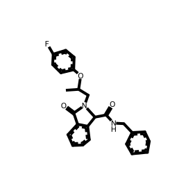 CC(CN1C(=O)c2ccccc2C1C(=O)NCc1ccccc1)Oc1ccc(F)cc1